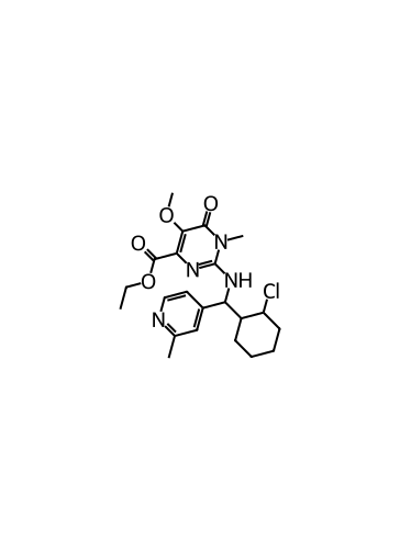 CCOC(=O)c1nc(NC(c2ccnc(C)c2)C2CCCCC2Cl)n(C)c(=O)c1OC